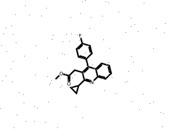 COC(=O)Cc1c(C2CC2)nc2ccccc2c1-c1ccc(F)cc1